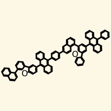 c1ccc(-c2c3ccccc3c(-c3cc(-c4cccc5cc(-c6ccc(-c7c8ccccc8c(-c8ccc9oc%10c(-c%11cccc%12ccccc%11%12)cccc%10c9c8)c8ccccc78)cc6)ccc45)c4oc5ccccc5c4c3)c3ccccc23)cc1